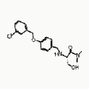 CN(C)C(=O)[C@H](CO)NCc1ccc(OCc2cccc(Cl)c2)cc1